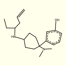 C=CCC(CC)NC1CCC(c2cccc(O)c2)(N(C)C)CC1